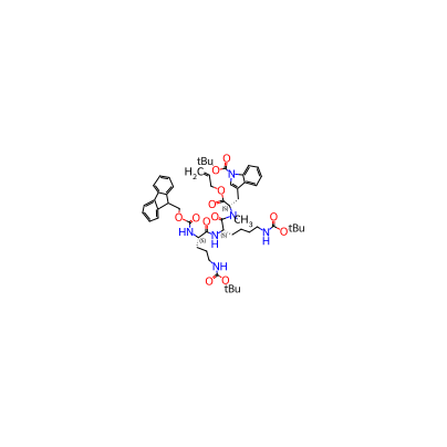 C=CCOC(=O)[C@H](Cc1cn(C(=O)OC(C)(C)C)c2ccccc12)N(C)C(=O)[C@H](CCCCNC(=O)OC(C)(C)C)NC(=O)[C@H](CCCNC(=O)OC(C)(C)C)NC(=O)OCC1c2ccccc2-c2ccccc21